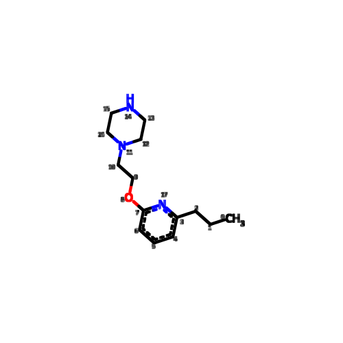 CCCc1cccc(OCCN2CCNCC2)n1